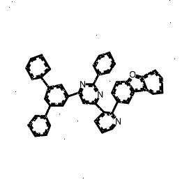 c1ccc(-c2cc(-c3ccccc3)cc(-c3cc(-c4cccnc4-c4ccc5oc6ccccc6c5c4)nc(-c4ccccc4)n3)c2)cc1